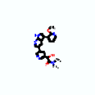 COc1ncccc1-c1c[nH]c2ncc(-c3cncc(C(O)C(=O)N(C)C)c3)cc12